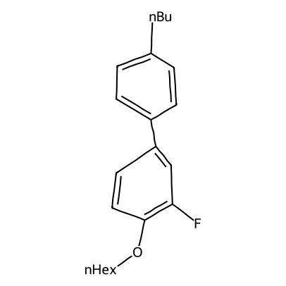 CCCCCCOc1ccc(-c2ccc(CCCC)cc2)cc1F